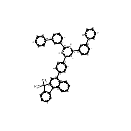 CC1(C)c2ccccc2-c2c1cc(-c1ccc(-c3nc(-c4cccc(-c5ccccc5)c4)nc(-c4cccc(-c5ccccc5)c4)n3)cc1)c1ccccc21